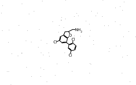 NCC1Cc2cc(Cl)cc(-c3cc(Cl)ccc3Cl)c2O1